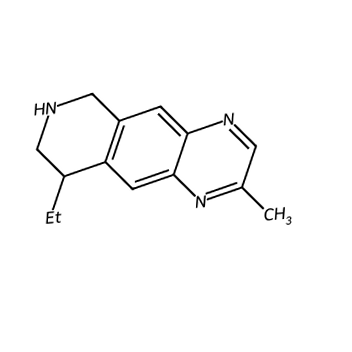 CCC1CNCc2cc3ncc(C)nc3cc21